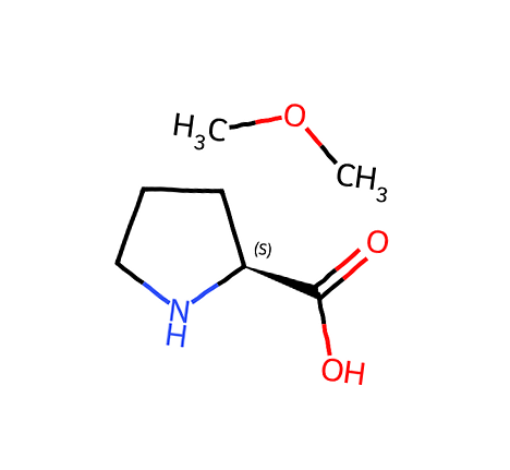 COC.O=C(O)[C@@H]1CCCN1